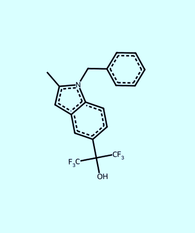 Cc1cc2cc(C(O)(C(F)(F)F)C(F)(F)F)ccc2n1Cc1ccccc1